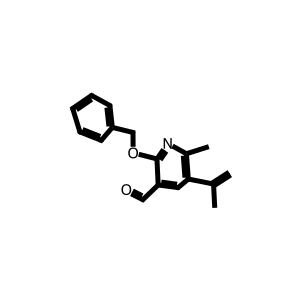 C=C(C)c1cc(C=O)c(OCc2ccccc2)nc1C